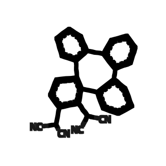 N#CC(C#N)c1ccc2c(c1C(C#N)C#N)-c1ccccc1-c1ccccc1-c1ccccc1-2